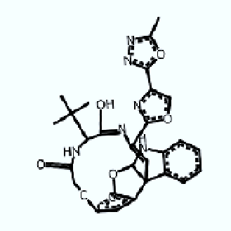 Cc1nnc(-c2coc(C3=C\C45c6ccccc6NC4Oc4ccc(cc45)CCC(=O)NC(C(C)(C)C)\C(O)=N\3)n2)o1